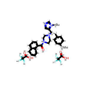 CCCCn1cncc1[C@H](Cc1ccc(OC)cc1)N1CCN(C(=O)c2cccc3ccccc23)CC1.O=C(O)C(F)(F)F.O=C(O)C(F)(F)F